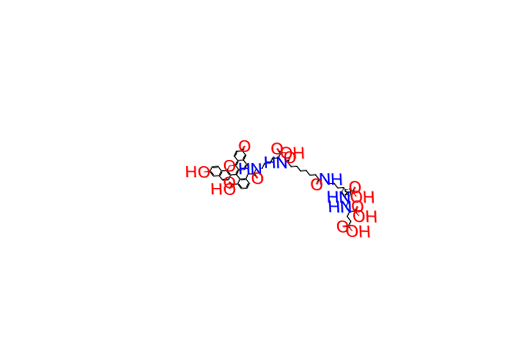 O=C(O)CCC(NCN[C@@H](CCCCNC(=O)CCCCCCC(=O)NC(CCCCNC(=O)Cc1cccc(C(=O)O)c1-c1c2ccc3cc(O)ccc3c2oc2c1ccc1cc(=O)ccc12)C(=O)O)C(=O)O)C(=O)O